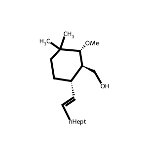 CCCCCCCC=C[C@@H]1CCC(C)(C)[C@H](OC)[C@H]1CO